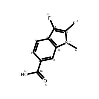 Cn1c(F)c(F)c2ccc(C(=O)O)cc21